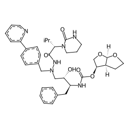 CC(C)[C@@H](C(=O)NN(Cc1ccc(-c2ccccn2)cc1)C[C@H](O)[C@H](Cc1ccccc1)NC(=O)O[C@H]1CO[C@H]2OCC[C@H]21)N1CCCNC1=O